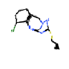 C=CCSC1=NC2=NC3=C(CCCC3Cl)CN2N1